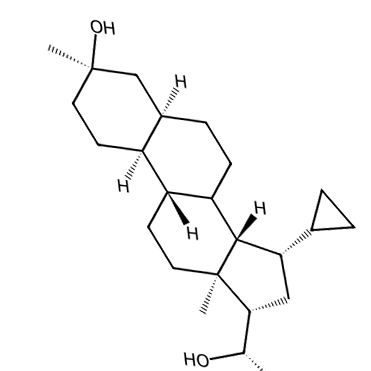 C[C@H](O)[C@H]1C[C@@H](C2CC2)[C@H]2C3CC[C@@H]4C[C@](C)(O)CC[C@@H]4[C@H]3CC[C@]12C